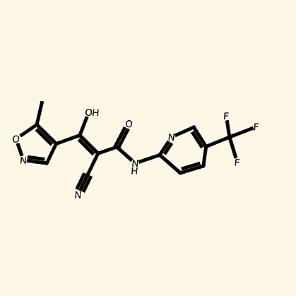 Cc1oncc1/C(O)=C(\C#N)C(=O)Nc1ccc(C(F)(F)F)cn1